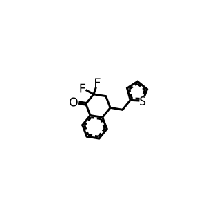 O=C1c2ccccc2C(Cc2cccs2)CC1(F)F